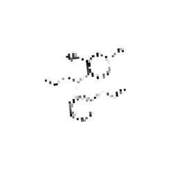 C=CC(c1ccccc1)c1cc(Br)cc(N)c1NCC(C)C